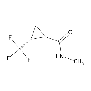 CNC(=O)C1C[C@H]1C(F)(F)F